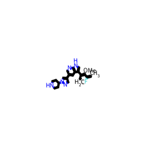 C=C/C(=C(OC)\C(F)=C/C)c1c[nH]c2ncc(-c3cnn(C4CCNCC4)c3)cc12